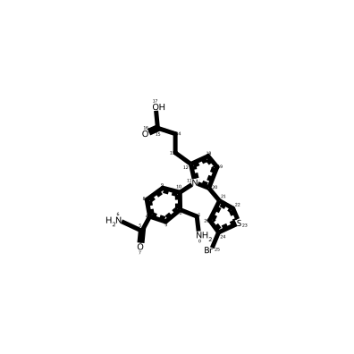 NCc1cc(C(N)=O)ccc1-n1c(CCC(=O)O)ccc1-c1csc(Br)c1